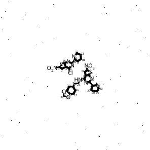 O=[N+]([O-])c1cc2c(Cl)nc(-c3ccccn3)nc2s1.O=[N+]([O-])c1cc2c(NCCc3ccc4c(c3)OCO4)nc(-c3ccccn3)nc2s1